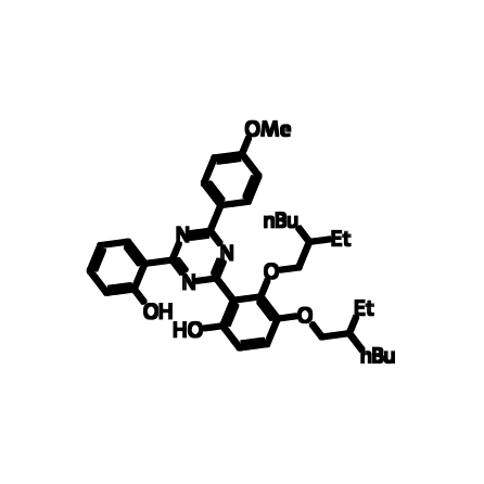 CCCCC(CC)COc1ccc(O)c(-c2nc(-c3ccc(OC)cc3)nc(-c3ccccc3O)n2)c1OCC(CC)CCCC